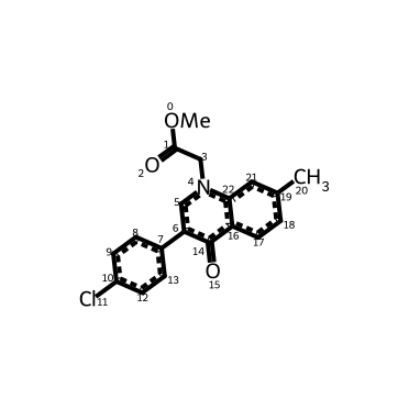 COC(=O)Cn1cc(-c2ccc(Cl)cc2)c(=O)c2ccc(C)cc21